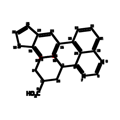 O=C(O)C1CCCC(c2ncnc3cccc(-c4ccc5sccc5c4)c23)C1